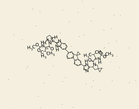 COC(=O)N[C@H](C(=O)N1CC2(CC2)CC1c1ncc(-c2ccc3c(c2)C2(CC2)c2cc(-c4ccc5nc([C@@H]6[C@H]7CC[C@H](C7)N6C(=O)[C@@H](NC(=O)OC)C(C)C)[nH]c5c4)ccc2-3)[nH]1)C(C)C